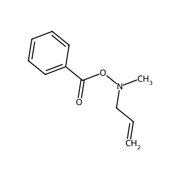 C=CCN(C)OC(=O)c1ccccc1